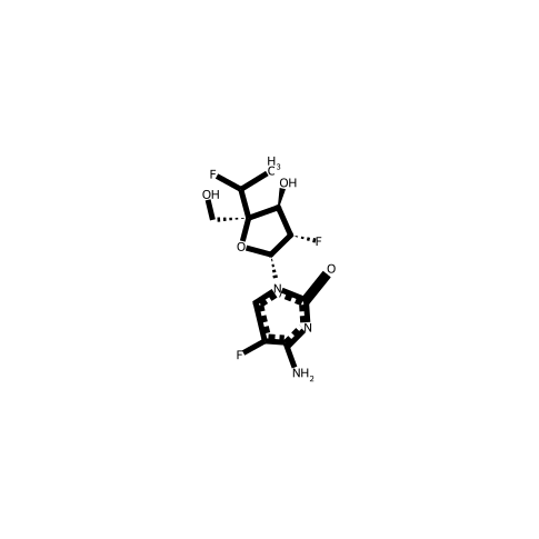 CC(F)[C@]1(CO)O[C@@H](n2cc(F)c(N)nc2=O)[C@@H](F)[C@@H]1O